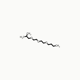 CCCCOCCOCCOCC(C)C